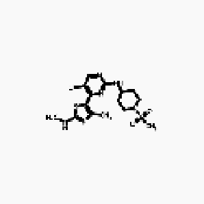 CNc1nc(C)c(-c2nc(NC3CCN(S(C)(=O)=O)CC3)ncc2Cl)s1